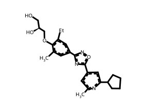 CCc1cc(-c2noc(-c3cc(C)nc(C4CCCC4)c3)n2)cc(C)c1OC[C@@H](O)CO